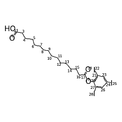 O=C(O)CCCCCCCCCCCCCCC(=O)Oc1c(I)cc(I)cc1I